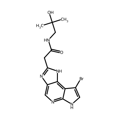 CC(C)(O)CNC(=O)Cc1nc2cnc3[nH]cc(Br)c3c2[nH]1